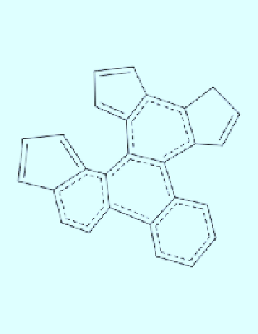 C1=Cc2ccc3c4ccccc4c4c5c(c6c(c4c3c2=C1)=CC=C6)CC=C5